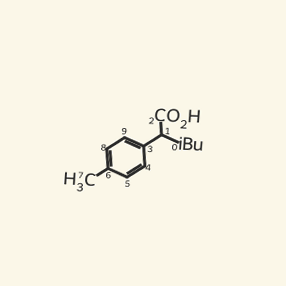 CCC(C)C(C(=O)O)c1ccc(C)cc1